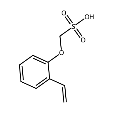 C=Cc1ccccc1OCS(=O)(=O)O